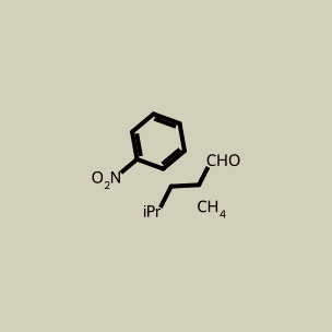 C.CC(C)CCC=O.O=[N+]([O-])c1ccccc1